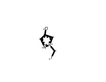 Clc1cnn(CI)c1